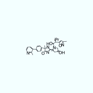 Cc1cc(C(C(=O)N2C[C@H](O)C[C@H]2C2=NC(=O)C(C)(c3ccc(-c4cccnc4C)cc3)N2)C(C)C)on1